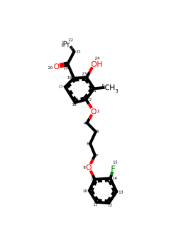 Cc1c(OCCCCOc2ccccc2F)ccc(C(=O)CC(C)C)c1O